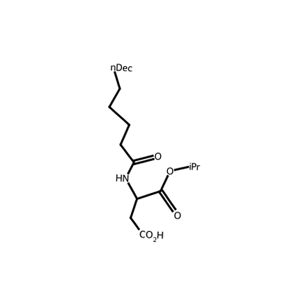 CCCCCCCCCCCCCCC(=O)NC(CC(=O)O)C(=O)OC(C)C